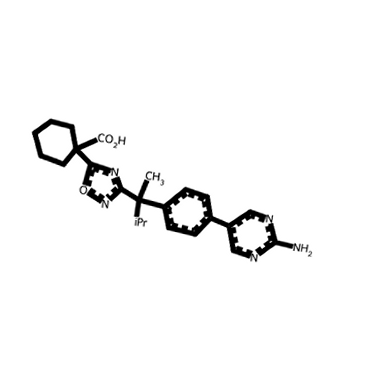 CC(C)C(C)(c1ccc(-c2cnc(N)nc2)cc1)c1noc(C2(C(=O)O)CCCCC2)n1